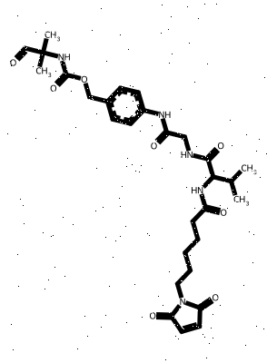 CC(C)C(NC(=O)CCCCCN1C(=O)C=CC1=O)C(=O)NCC(=O)Nc1ccc(COC(=O)NC(C)(C)C=O)cc1